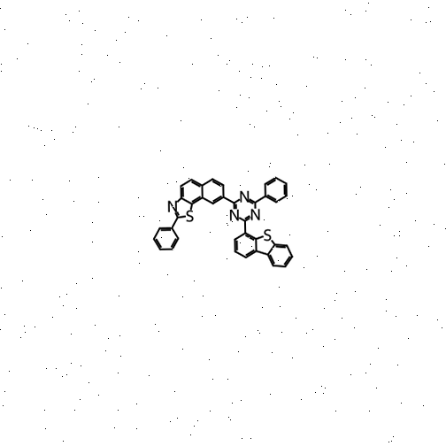 c1ccc(-c2nc(-c3ccc4ccc5nc(-c6ccccc6)sc5c4c3)nc(-c3cccc4c3sc3ccccc34)n2)cc1